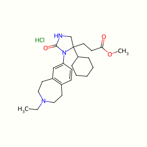 CCN1CCc2ccc(N3C(=O)NCC3(CCC(=O)OC)C3CCCCC3)cc2CC1.Cl